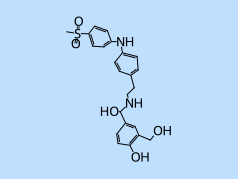 CS(=O)(=O)c1ccc(Nc2ccc(CCNC(O)c3ccc(O)c(CO)c3)cc2)cc1